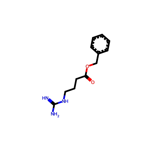 N=C(N)NCCCC(=O)OCc1ccccc1